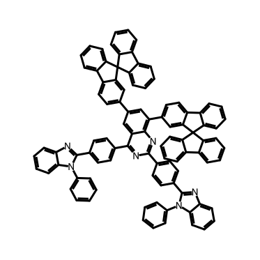 c1ccc(-n2c(-c3ccc(-c4nc(-c5ccc(-c6nc7ccccc7n6-c6ccccc6)cc5)c5cc(-c6ccc7c(c6)C6(c8ccccc8-c8ccccc86)c6ccccc6-7)cc(-c6ccc7c(c6)C6(c8ccccc8-c8ccccc86)c6ccccc6-7)c5n4)cc3)nc3ccccc32)cc1